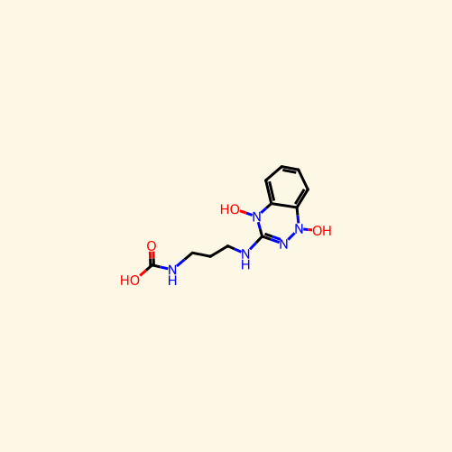 O=C(O)NCCCNC1=NN(O)c2ccccc2N1O